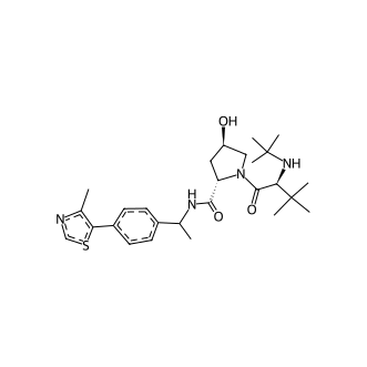 Cc1ncsc1-c1ccc(C(C)NC(=O)[C@@H]2C[C@@H](O)CN2C(=O)[C@@H](NC(C)(C)C)C(C)(C)C)cc1